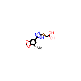 COc1cc(-c2nnc(SCC(O)O)[nH]2)cc2c1OCO2